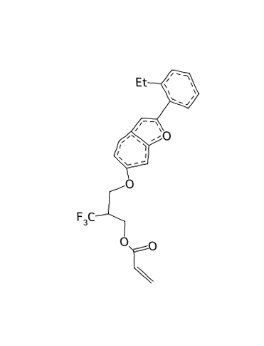 C=CC(=O)OCC(COc1ccc2cc(-c3ccccc3CC)oc2c1)C(F)(F)F